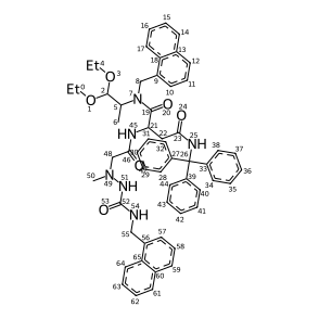 CCOC(OCC)C(C)N(Cc1cccc2ccccc12)C(=O)C(CC(=O)NC(c1ccccc1)(c1ccccc1)c1ccccc1)NC(=O)CN(C)NC(=O)NCc1cccc2ccccc12